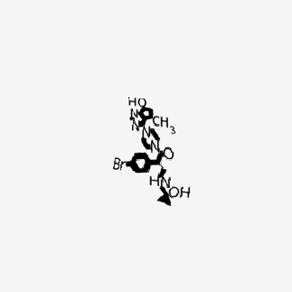 C[C@@H]1C[C@@H](O)c2ncnc(N3CCN(C(=O)[C@H](CCNCC4(O)CC4)c4ccc(Br)cc4)CC3)c21